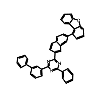 c1ccc(-c2cccc(-c3nc(-c4ccccc4)nc(-c4ccc5ccc(-c6cccc7oc8ccccc8c67)cc5c4)n3)c2)cc1